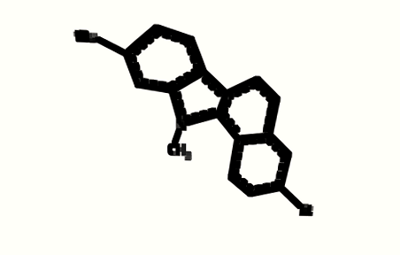 CCc1ccc2c(ccc3c4ccc(C(C)(C)C)cc4n(C)c23)c1